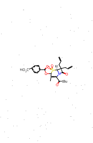 C=CCC1(CC=C)C(=O)N2C(C(=O)C(C)(C)C)=C(C)C(OC(=O)c3ccc(C(=O)O)cc3)S(=O)(=O)[C@H]21